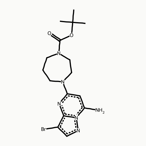 CC(C)(C)OC(=O)N1CCCN(c2cc(N)n3ncc(Br)c3n2)CC1